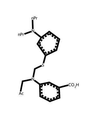 CCCN(CCC)c1cccc(SCN(CC(C)=O)c2cccc(C(=O)O)c2)c1